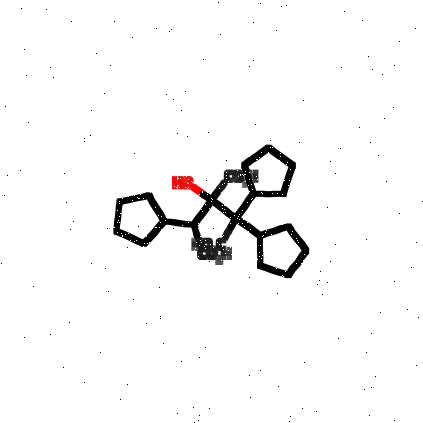 O=C(O)C(C1CCCC1)C(O)(C(=O)O)C(C(=O)O)(C1CCCC1)C1CCCC1